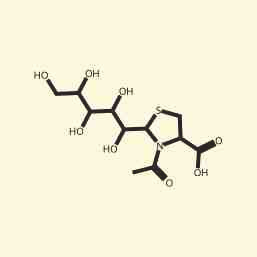 CC(=O)N1C(C(=O)O)CSC1C(O)C(O)C(O)C(O)CO